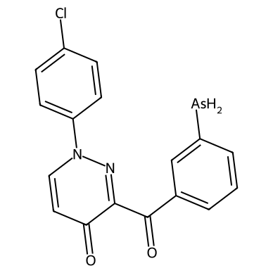 O=C(c1cccc([AsH2])c1)c1nn(-c2ccc(Cl)cc2)ccc1=O